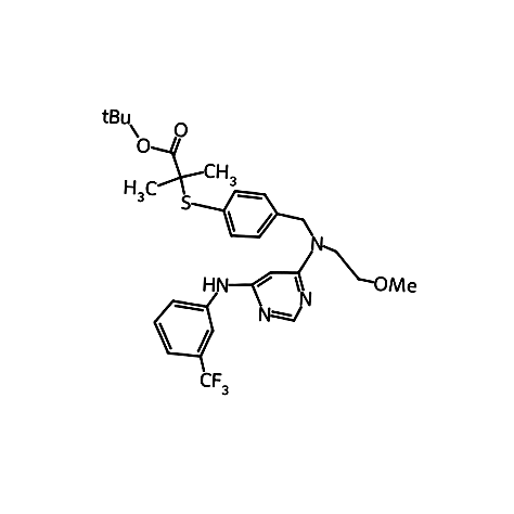 COCCN(Cc1ccc(SC(C)(C)C(=O)OC(C)(C)C)cc1)c1cc(Nc2cccc(C(F)(F)F)c2)ncn1